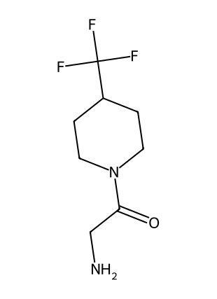 NCC(=O)N1CCC(C(F)(F)F)CC1